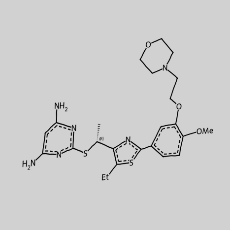 CCc1sc(-c2ccc(OC)c(OCCN3CCOCC3)c2)nc1[C@@H](C)Sc1nc(N)cc(N)n1